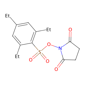 CCc1cc(CC)c(S(=O)(=O)ON2C(=O)CCC2=O)c(CC)c1